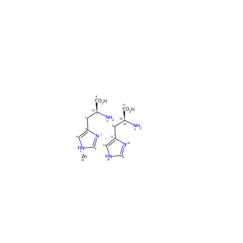 N[C@@H](Cc1c[nH]cn1)C(=O)O.N[C@@H](Cc1c[nH]cn1)C(=O)O.[Zn]